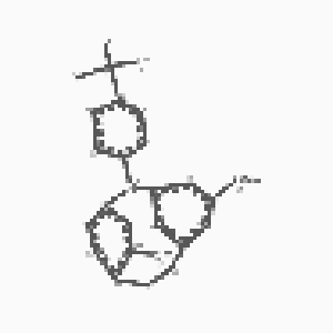 CCC(C)(C)c1ccc(N2c3cc(cc(OC)c3)CCc3ccc2cc3OC)cc1